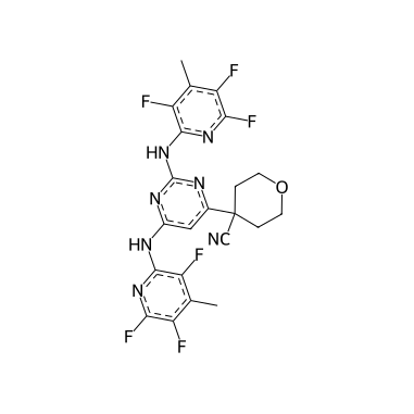 Cc1c(F)c(F)nc(Nc2cc(C3(C#N)CCOCC3)nc(Nc3nc(F)c(F)c(C)c3F)n2)c1F